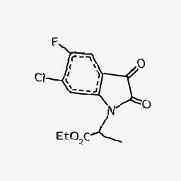 CCOC(=O)C(C)N1C(=O)C(=O)c2cc(F)c(Cl)cc21